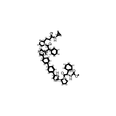 COC(=O)N[C@@H](C(=O)N1CCC[C@H]1c1ncc(-c2ccc(-c3ccc(-c4cnc([C@@H]5CSC(CCC(=O)NC6CC6)N5C(=O)C(c5ccccc5)N(C)C)[nH]4)cc3)cc2)[nH]1)c1ccccc1